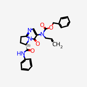 C=CCN(C(=O)OCc1ccccc1)c1cnc2n(c1=O)[C@H](C(=O)Nc1ccccc1)CC2